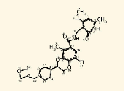 COc1cc(C)[nH]c(=O)c1CNC(=O)c1cc(Cl)c2c(c1C)OC(C1CCN(CC3COC3)CC1)CO2